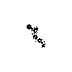 CN(c1ccc(NC(=O)c2nc(-c3ccccc3)oc2C(F)(F)F)cn1)C1CCN(C(=O)OC(C)(C)C)C1